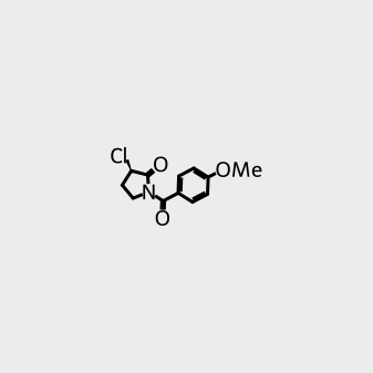 COc1ccc(C(=O)N2CC[C@@H](Cl)C2=O)cc1